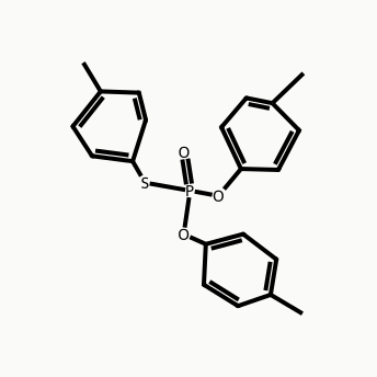 Cc1ccc(OP(=O)(Oc2ccc(C)cc2)Sc2ccc(C)cc2)cc1